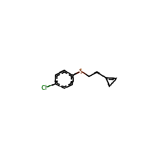 Clc1ccc(SCCC2=CC2)cc1